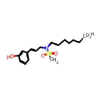 CS(=O)(=O)N(C/C=C/c1cccc(O)c1)CCCCCCC(=O)O